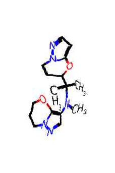 CN(c1cnn2c1OCCC2)C(C)(C)C1CCn2nccc2O1